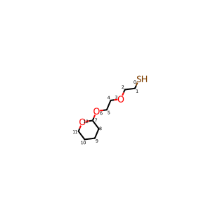 SCCOCCOC1CCCCO1